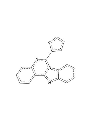 c1csc(-c2nc3ccccc3c3nc4ccccc4n23)c1